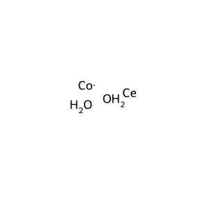 O.O.[Ce].[Co]